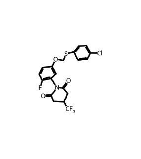 O=C1CC(C(F)(F)F)CC(=O)N1c1cc(OCSc2ccc(Cl)cc2)ccc1F